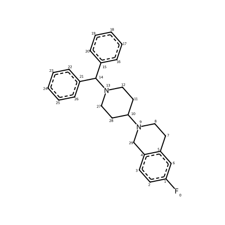 Fc1ccc2c(c1)CCN(C1CCN(C(c3ccccc3)c3ccccc3)CC1)C2